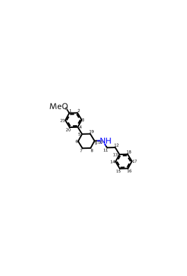 COc1ccc(C2CCCC(NCCc3ccccc3)C2)cc1